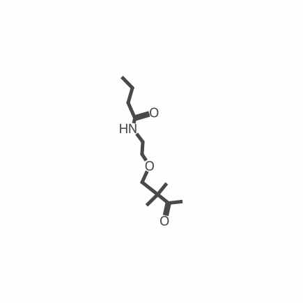 CCCC(=O)NCCOCC(C)(C)C(C)=O